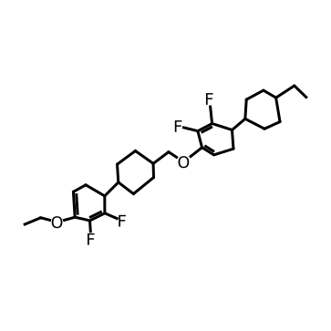 CCOC1=CCC(C2CCC(COC3=CCC(C4CCC(CC)CC4)C(F)=C3F)CC2)C(F)=C1F